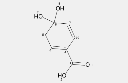 O=C(O)C1=CCC(O)(O)C=C1